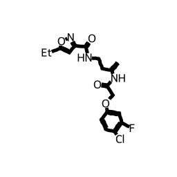 C=C(CCNC(=O)c1cc(CC)on1)NC(=O)COc1ccc(Cl)c(F)c1